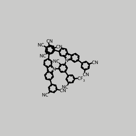 N#Cc1cc(C#N)cc(-c2ccc3c4ccc(-c5cc(C#N)cc(C#N)c5)cc4n(-c4cc(-c5cc(C#N)cc(C(F)(F)F)c5)cc(-n5c6cc(-c7cc(C#N)cc(C#N)c7)ccc6c6ccc(-c7cc(C#N)cc(C#N)c7)cc65)c4C#N)c3c2)c1